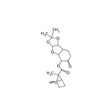 CC1(C)OC2OC3C(OC(=O)C4(C)C5CC[C@@H]54)C(=O)CCC3C2O1